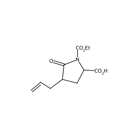 C=CCC1CC(C(=O)O)N(C(=O)OCC)C1=O